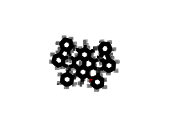 Fc1c(F)c2c3c(c4c(F)c(F)c(F)c5c6c(c(c1F)c2c54)N(c1ccccc1)c1cccc2c1B6c1ccccc1-2)-n1c2ccccc2c2cccc(c21)B3c1ccccc1